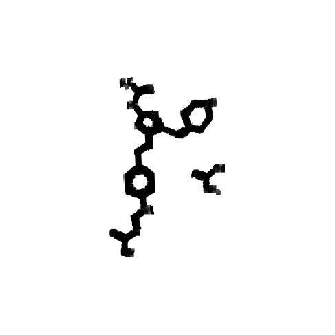 CC(=O)Nc1nc(CCc2ccc(NC=NC(=O)O)cc2)c(CN2CCNCC2)s1.NC(=O)O